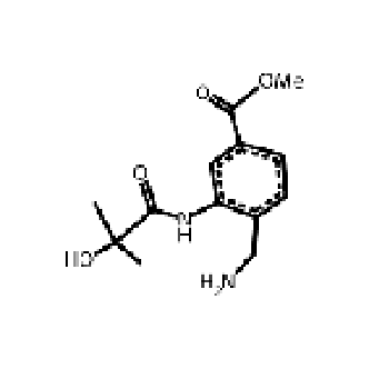 COC(=O)c1ccc(CN)c(NC(=O)C(C)(C)O)c1